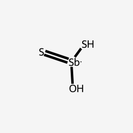 [OH][Sb](=[S])[SH]